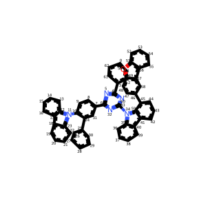 c1ccc(-c2nc(-c3ccc(-n4c5ccccc5c5ccccc54)c(-c4ccccc4)c3)nc(-n3c4ccccc4c4cccc(-c5ccc6oc7ccccc7c6c5)c43)n2)cc1